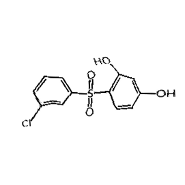 O=S(=O)(c1cccc(Cl)c1)c1ccc(O)cc1O